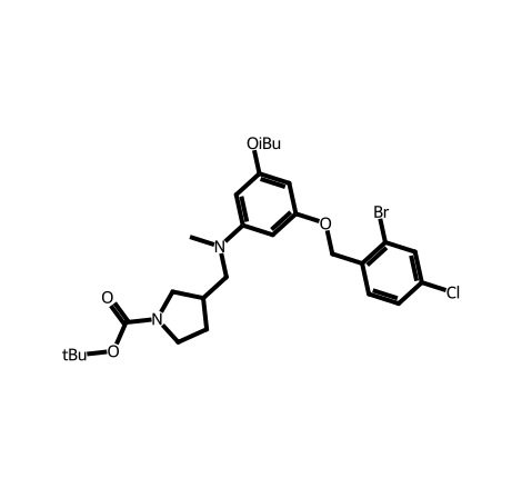 CC(C)COc1cc(OCc2ccc(Cl)cc2Br)cc(N(C)CC2CCN(C(=O)OC(C)(C)C)C2)c1